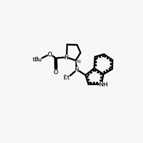 CCN(c1c[nH]c2ccccc12)[C@@H]1CCCN1C(=O)OC(C)(C)C